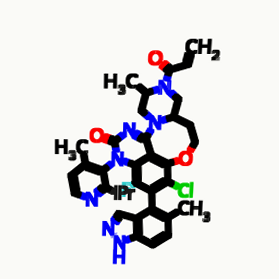 C=CC(=O)N1CC2CCOc3c(Cl)c(-c4c(C)ccc5[nH]ncc45)c(F)c4c3c(nc(=O)n4-c3c(C)ccnc3C(C)C)N2CC1C